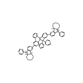 CC12CCCCCCC1(C)N(c1ccccc1)c1ccc(-c3ccc4c(c3)C(c3ccccc3)(c3ccccc3)c3c-4c4ccccc4c4cc(-c5ccc6c(c5)C5(C)CCCCCCC5(C)N6c5ccccc5)ccc34)cc12